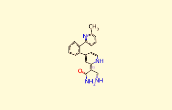 Cc1cccc(-c2ccccc2C2=C/C(=C(/C=N)C(N)=O)NC=C2)n1